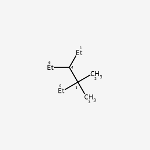 [CH2]CC(C)(C)C(CC)CC